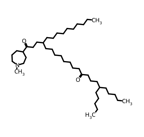 CCCCCCCCCCC(CCCCCCCCC(=O)CCCC(CCCCC)CCCCC)CCC(=O)C1CCCN(C)CC1